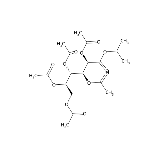 CC(=O)OC[C@@H](OC(C)=O)[C@H](OC(C)=O)[C@H](OC(C)=O)[C@@H](OC(C)=O)C(=O)OC(C)C